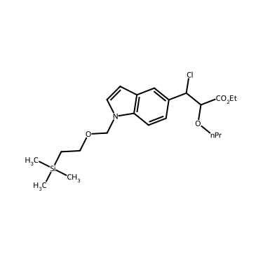 CCCOC(C(=O)OCC)C(Cl)c1ccc2c(ccn2COCC[Si](C)(C)C)c1